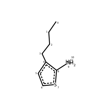 CCCCc1ccsc1N.Cl